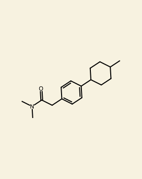 CC1CCC(c2ccc(CC(=O)N(C)C)cc2)CC1